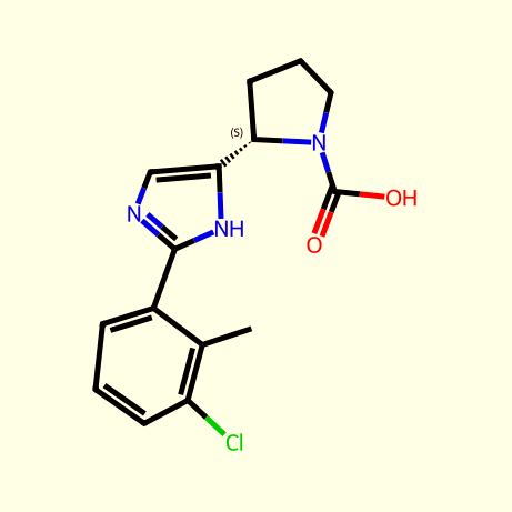 Cc1c(Cl)cccc1-c1ncc([C@@H]2CCCN2C(=O)O)[nH]1